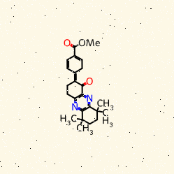 COC(=O)C1=CCC(=C2CCc3nc4c(nc3C2=O)C(C)(C)CCC4(C)C)C=C1